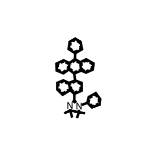 CC1(C)N=C(c2ccc(-c3c4ccccc4c(-c4ccccc4)c4ccccc34)c3ccccc23)N(c2ccccc2)C1(C)C